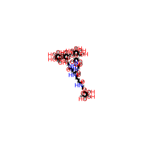 C[C@@H]1O[C@@H](OCCNC(=O)CCCC(=O)N[C@@H](CCC(=O)NCCO[C@H]2O[C@H](CO[C@H]3O[C@H](CO)[C@@H](O)[C@H](O)[C@@H]3O)[C@@H](O)[C@H](O[C@H]3O[C@H](CO)[C@@H](O)[C@H](O)[C@@H]3O)[C@@H]2O)C(=O)NCC(=O)ON2C(=O)CCC2=O)[C@@H](O)[C@H](O)[C@@H]1O